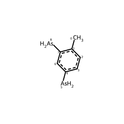 Cc1ccc([AsH2])cc1[AsH2]